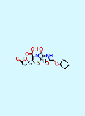 O=C(COc1ccccc1)N[C@@H]1C(=O)N2C(C(=O)O)=C([C@@H]3CCC(=O)O3)CS[C@H]12